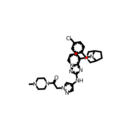 CN1CCN(C(=O)Cn2cc(Nc3nc4c(N5CC6CCC(C5)N6Cc5ccc(Cl)cc5)cccn4n3)cn2)CC1